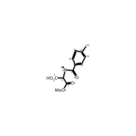 COC(=O)C(C(=O)O)N(C)C(=O)c1ccc(I)cc1